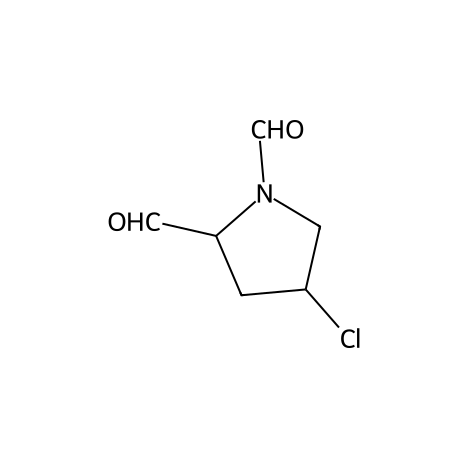 O=CC1CC(Cl)CN1C=O